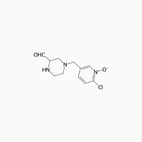 O=CC1CN(Cc2ccc(Cl)[n+]([O-])c2)CCN1